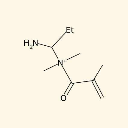 C=C(C)C(=O)[N+](C)(C)C(N)CC